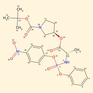 C[C@H](NP(=O)(Oc1ccccc1)Oc1ccc([N+](=O)[O-])cc1)C(=O)O[C@@H]1CCN(C(=O)OC(C)(C)C)C1